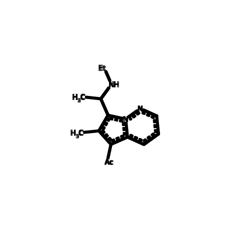 CCNC(C)c1c(C)c(C(C)=O)c2cccnn12